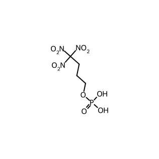 O=[N+]([O-])C(CCCOP(=O)(O)O)([N+](=O)[O-])[N+](=O)[O-]